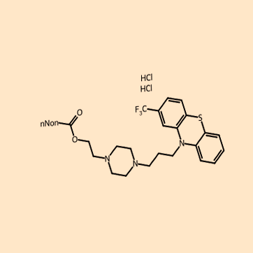 CCCCCCCCCC(=O)OCCN1CCN(CCCN2c3ccccc3Sc3ccc(C(F)(F)F)cc32)CC1.Cl.Cl